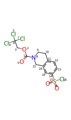 O=C(OCC(Cl)(Cl)Cl)N1CCc2ccc(S(=O)(=O)Cl)cc2C1